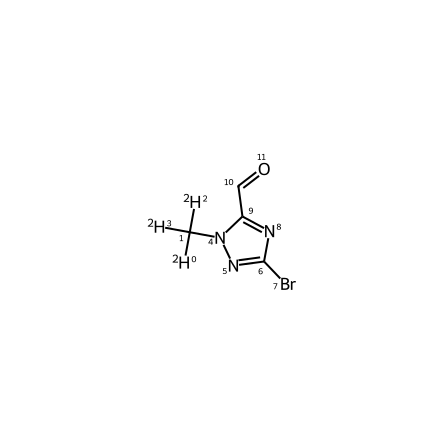 [2H]C([2H])([2H])n1nc(Br)nc1C=O